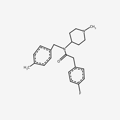 Cc1ccc(CN(C(=O)Cc2ccc(F)cc2)C2CCN(C)CC2)cc1